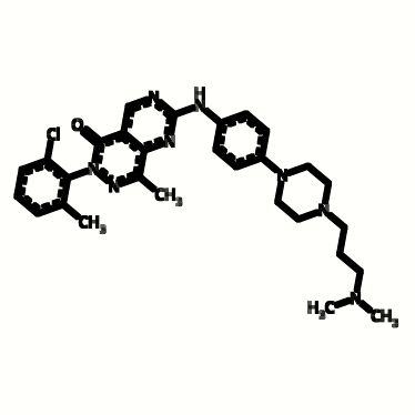 Cc1cccc(Cl)c1-n1nc(C)c2nc(Nc3ccc(N4CCN(CCCN(C)C)CC4)cc3)ncc2c1=O